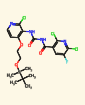 CC(C)(C)[Si](C)(C)OCCOc1ccnc(Cl)c1NC(=O)NC(=O)c1cc(F)c(Cl)nc1Cl